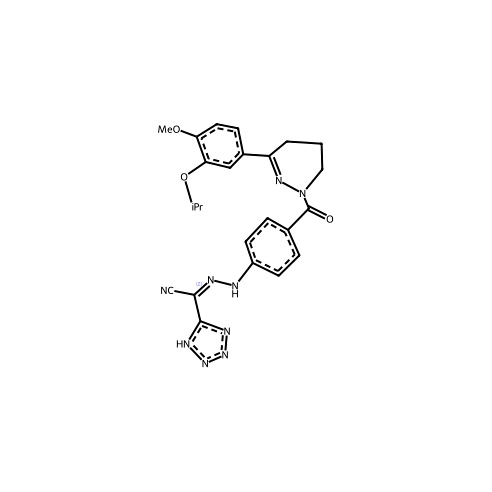 COc1ccc(C2=NN(C(=O)c3ccc(N/N=C(/C#N)c4nnn[nH]4)cc3)CCC2)cc1OC(C)C